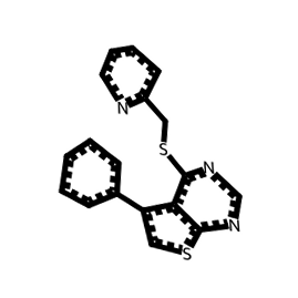 c1ccc(-c2csc3ncnc(SCc4ccccn4)c23)cc1